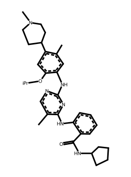 Cc1cc(Nc2ncc(C)c(Nc3ccccc3C(=O)NC3CCCC3)n2)c(OC(C)C)cc1C1CCN(C)CC1